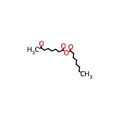 CCCCCCCC(=O)OC(=O)CCCCCC(C)=O